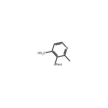 CCCCCc1c(C(=O)O)ccnc1C